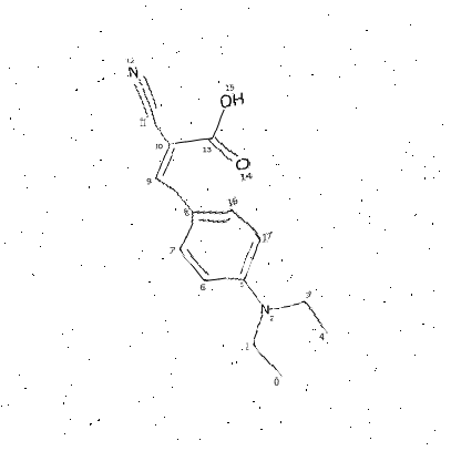 CCN(CC)c1ccc(/C=C(/C#N)C(=O)O)cc1